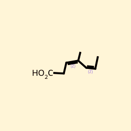 C/C=C\C(C)=C/CC(=O)O